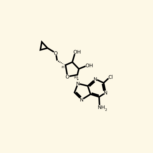 Nc1nc(Cl)nc2c1ncn2[C@@H]1O[C@H](COC2CC2)C(O)C1O